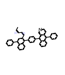 C/C=C\C=C/c1cc(-c2ccccc2)c2ccccc2c1-c1ccc(-c2c3ccccc3c(-c3ccccc3)c3ccncc23)cc1